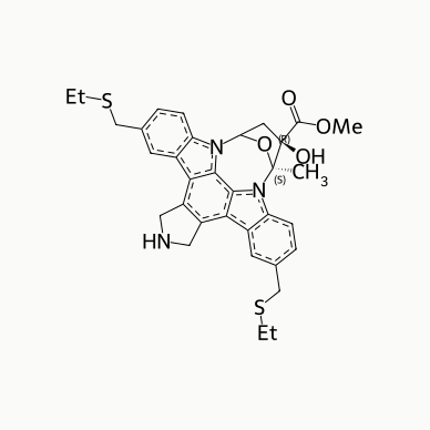 CCSCc1ccc2c(c1)c1c3c(c4c5cc(CSCC)ccc5n5c4c1n2C1C[C@](O)(C(=O)OC)[C@]5(C)O1)CNC3